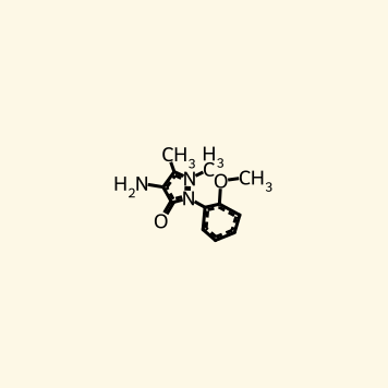 COc1ccccc1-n1c(=O)c(N)c(C)n1C